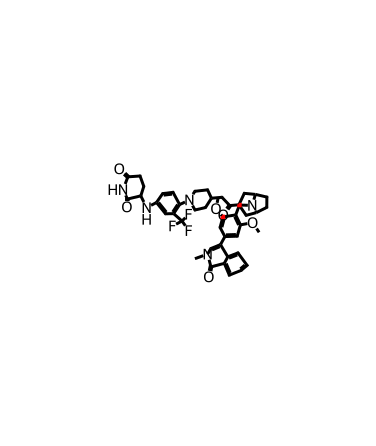 COc1cc(-c2cn(C)c(=O)c3ccccc23)cc(OC)c1CN1C2CCC1CC(C(=O)CC1CCN(c3ccc(NC4CCC(=O)NC4=O)cc3C(F)(F)F)CC1)C2